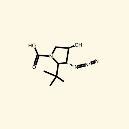 CC(C)(C)C1[C@@H](N=[N+]=[N-])[C@H](O)CN1C(=O)O